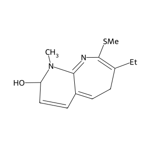 CCC1=C(SC)N=C2C(=CC1)C=CC(O)N2C